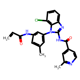 C=CC(=O)Nc1cc(C)cc(-n2c(NC(=O)c3ccnc(C)c3)nc3cccc(Cl)c32)c1